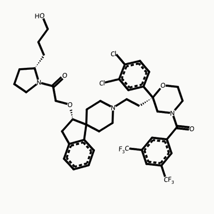 O=C(c1cc(C(F)(F)F)cc(C(F)(F)F)c1)N1CCO[C@](CCN2CCC3(CC2)c2ccccc2C[C@@H]3OCC(=O)N2CCC[C@@H]2CCCO)(c2ccc(Cl)c(Cl)c2)C1